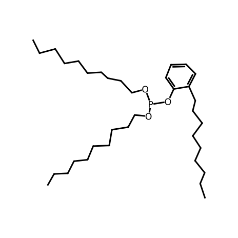 CCCCCCCCCCOP(OCCCCCCCCCC)Oc1ccccc1CCCCCCCCC